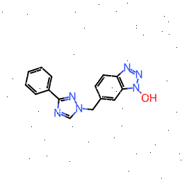 On1nnc2ccc(Cn3cnc(-c4ccccc4)n3)cc21